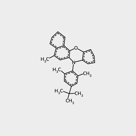 Cc1cc(C(C)(C)C)cc(C)c1N1c2ccccc2Oc2c1cc(C)c1ccccc21